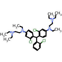 CCN(CC)CCN(CC)c1ccc(C(c2ccccc2Cl)c2ccc(N(CC)CCN(CC)CC)cc2Cl)c(Cl)c1